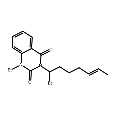 CC=CCCCC(CC)n1c(=O)c2ccccc2n(CC)c1=O